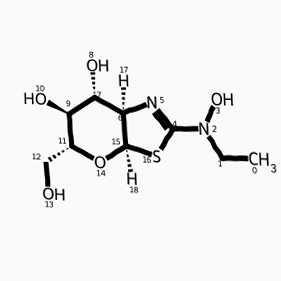 CCN(O)C1=N[C@@H]2[C@@H](O)[C@H](O)[C@@H](CO)O[C@@H]2S1